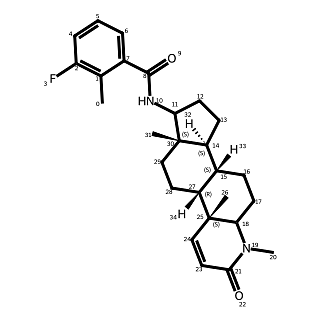 Cc1c(F)cccc1C(=O)NC1CC[C@H]2[C@@H]3CCC4N(C)C(=O)C=C[C@]4(C)[C@@H]3CC[C@]12C